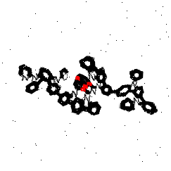 C1=CC2c3c(ccc4c5ccccc5n(-c5ccccc5)c34)N(c3ccccc3)C2C=C1c1ccc2c(c1)c1ccc3c4ccccc4n(-c4ccccc4)c3c1n2-c1cccc(-n2c3ccccc3c3ccc4c5ccc(-c6ccc7c8c9c%10ccccc%10n(-c%10ccccn%10)c9ccc8n(-c8ccco8)c7c6)cc5n(-c5ccccc5)c4c32)n1